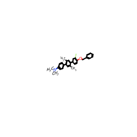 Cc1cc(-c2ccc(OCc3ccccc3)c(F)c2)c(C)cc1-c1ccc(N(C)C)cc1